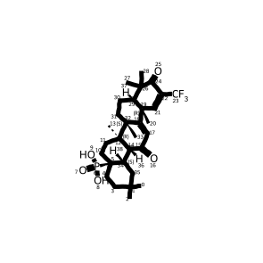 CC1(C)CC[C@]2(P(=O)(O)O)CC[C@]3(C)[C@H](C(=O)C=C4[C@@]5(C)C=C(C(F)(F)F)C(=O)C(C)(C)[C@@H]5CC[C@]43C)[C@@H]2C1